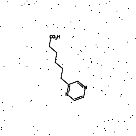 O=C(O)CCCCCc1cnccn1